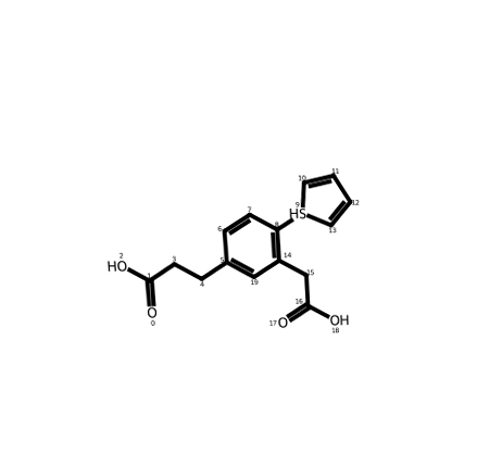 O=C(O)CCc1ccc([SH]2C=CC=C2)c(CC(=O)O)c1